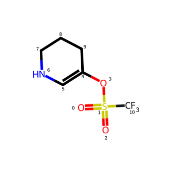 O=S(=O)(OC1=CNCCC1)C(F)(F)F